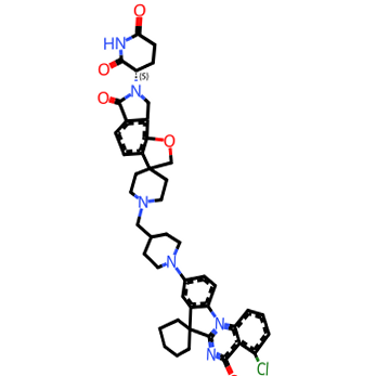 O=C1CC[C@H](N2Cc3c(ccc4c3OCC43CCN(CC4CCN(c5ccc6c(c5)C5(CCCCC5)c5nc(=O)c7c(Cl)cccc7n5-6)CC4)CC3)C2=O)C(=O)N1